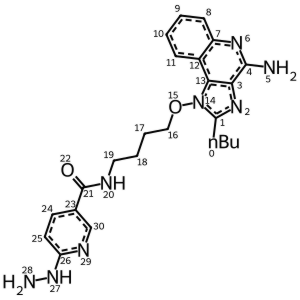 CCCCc1nc2c(N)nc3ccccc3c2n1OCCCCNC(=O)c1ccc(NN)nc1